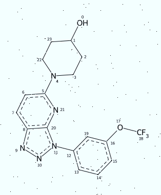 OC1CCN(c2ccc3nnn(-c4cccc(OC(F)(F)F)c4)c3n2)CC1